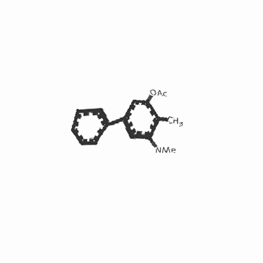 CNc1cc(-c2ccccc2)cc(OC(C)=O)c1C